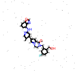 Cc1cnc(Nc2cccc3ocnc23)cc1-c1cc2n(c1)CCN(Cc1cc(F)ccc1CO)C2=O